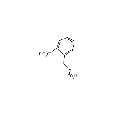 CCOC(=O)c1ccccc1COC(=O)O